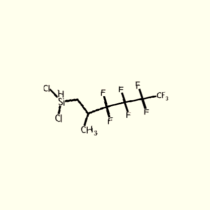 CC(C[SiH](Cl)Cl)C(F)(F)C(F)(F)C(F)(F)C(F)(F)F